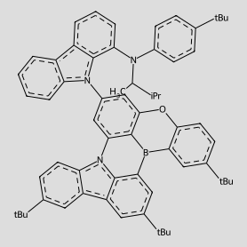 CC(C)C(C)N(c1ccc(C(C)(C)C)cc1)c1cccc2c3ccccc3n(-c3cc4c5c(c3)-n3c6ccc(C(C)(C)C)cc6c6cc(C(C)(C)C)cc(c63)B5c3cc(C(C)(C)C)ccc3O4)c12